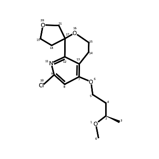 CO[C@H](C)CCOc1cc(Cl)nc2c1CCOC21CCOC1